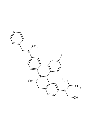 [CH2]CN(c1ccc2c(c1)C(c1ccc(Cl)cc1)N(c1ccc(N(C)Cc3ccncc3)cc1)C(=O)C2)C(C)C